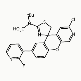 CC(C)(C)N(C(=O)O)C1=NC2(CS1)c1cc(-c3cccnc3F)ccc1Oc1cnc(Cl)cc12